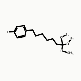 CCOC(CCCCCCc1ccc(F)cc1)(O[SiH3])OCC